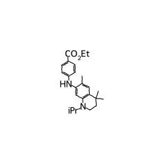 CCOC(=O)c1ccc(Nc2cc3c(cc2C)C(C)(C)CCN3C(C)C)cc1